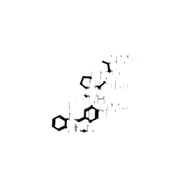 CN[C@@H](C)C(=O)N[C@H](C(=O)N1CCC[C@H]1C(=O)Nc1cc2c(Nc3ccccc3Cl)ncnc2cc1OC)C(C)(C)C.Cl